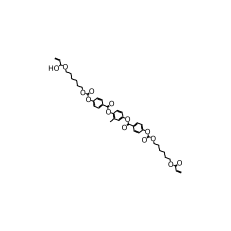 C=CC(=O)OCCCCCCOC(=O)Oc1ccc(C(=O)Oc2ccc(OC(=O)c3ccc(OC(=O)OCCCCCCOC(O)C=C)cc3)c(C)c2)cc1